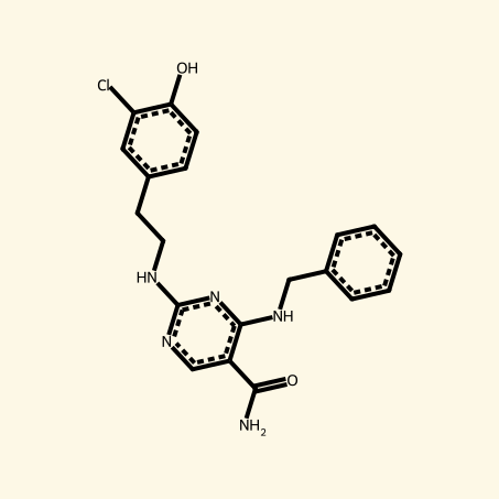 NC(=O)c1cnc(NCCc2ccc(O)c(Cl)c2)nc1NCc1ccccc1